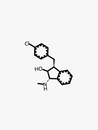 CN[C@H]1c2ccccc2[C@H](Cc2ccc(Cl)cc2)C1O